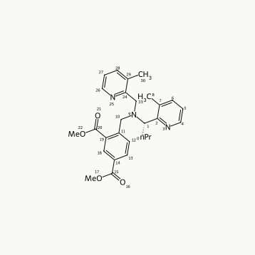 CCC[C@@H](c1ncccc1C)N(Cc1ccc(C(=O)OC)cc1C(=O)OC)Cc1ncccc1C